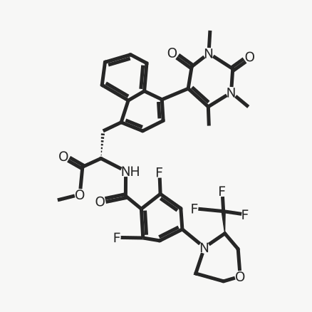 COC(=O)[C@H](Cc1ccc(-c2c(C)n(C)c(=O)n(C)c2=O)c2ccccc12)NC(=O)c1c(F)cc(N2CCOC[C@@H]2C(F)(F)F)cc1F